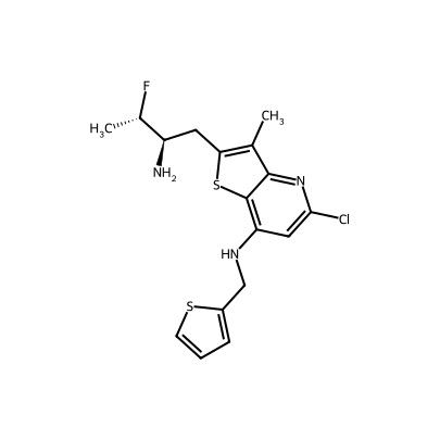 Cc1c(C[C@@H](N)[C@H](C)F)sc2c(NCc3cccs3)cc(Cl)nc12